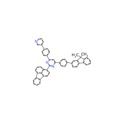 CC1(C)c2ccccc2-c2ccc(-c3ccc(-c4cc(-c5ccc(-c6cccnc6)cc5)nc(-c5ccc6c7c(cccc57)-c5ccccc5-6)n4)cc3)cc21